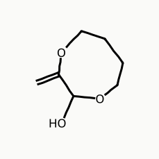 C=C1OCCCCOC1O